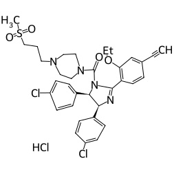 C#Cc1ccc(C2=N[C@@H](c3ccc(Cl)cc3)[C@@H](c3ccc(Cl)cc3)N2C(=O)N2CCN(CCCS(C)(=O)=O)CC2)c(OCC)c1.Cl